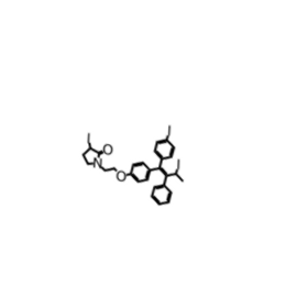 CC(I)C(=C(c1ccc(I)cc1)c1ccc(OCCN2CCC(I)C2=O)cc1)c1ccccc1